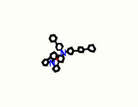 C1=CC(N(c2ccc(-c3ccc(-c4ccccc4)cc3)cc2)c2ccc(-c3ccccc3-n3c4ccccc4c4ccccc43)cc2)CC=C1c1ccccc1